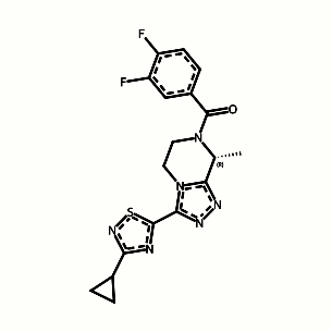 C[C@@H]1c2nnc(-c3nc(C4CC4)ns3)n2CCN1C(=O)c1ccc(F)c(F)c1